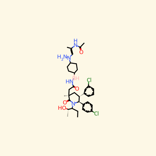 CCC([C@H](C)O)N1C(=O)[C@@](C)(CC(=O)NBC2CCC(N(N)/C=C(\C)NC(C)=O)CC2)C[C@H](c2cccc(Cl)c2)[C@H]1c1ccc(Cl)cc1